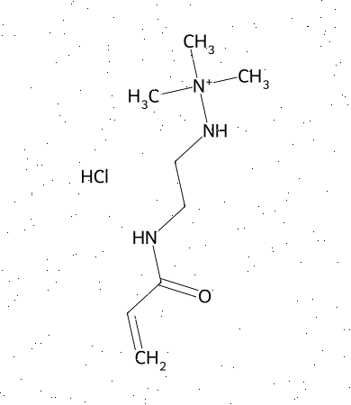 C=CC(=O)NCCN[N+](C)(C)C.Cl